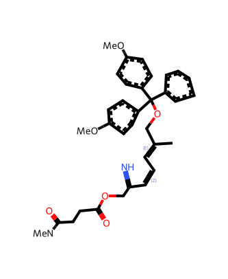 CNC(=O)CCC(=O)OCC(=N)/C=C\C=C(/C)COC(c1ccccc1)(c1ccc(OC)cc1)c1ccc(OC)cc1